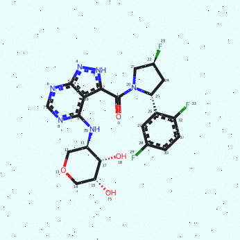 O=C(c1[nH]nc2ncnc(N[C@@H]3COC[C@@H](O)[C@H]3O)c12)N1C[C@@H](F)C[C@@H]1c1cc(F)ccc1F